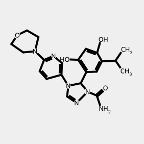 CC(C)c1cc(C2N(C(N)=O)N=CN2c2ccc(N3CCOCC3)nc2)c(O)cc1O